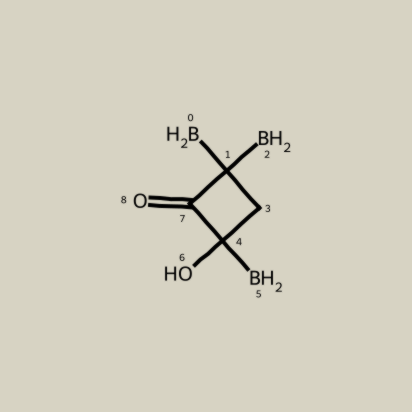 BC1(B)CC(B)(O)C1=O